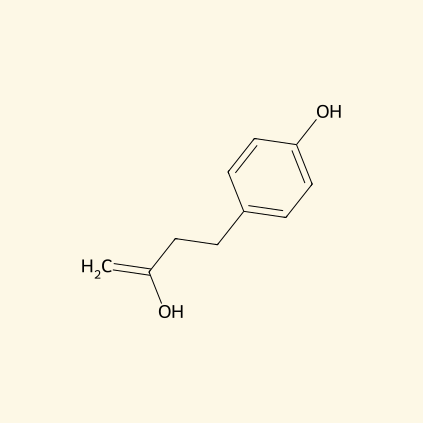 C=C(O)CCc1ccc(O)cc1